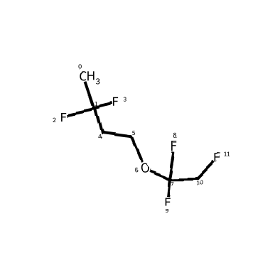 CC(F)(F)CCOC(F)(F)CF